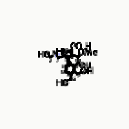 COCc1c(C(=O)O)[nH]c(/C=N/CO)c1-c1ccc(CO)c(CO)c1CO